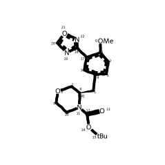 COc1ccc(C[C@@H]2COCCN2C(=O)OC(C)(C)C)cc1-c1ncon1